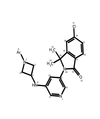 CC(=O)N1CC(Nc2cncc(N3C(=O)c4ccc(Cl)cc4C3(C)C)c2)C1